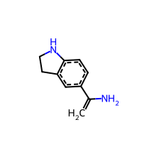 C=C(N)c1ccc2c(c1)CCN2